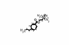 CCCC1=CC=CC(C(=O)OCC[N+](C)(C)C)=CC1